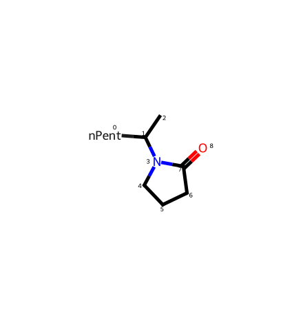 CCCCCC(C)N1CCCC1=O